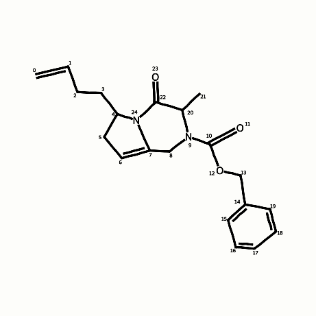 C=CCCC1CC=C2CN(C(=O)OCc3ccccc3)C(C)C(=O)N21